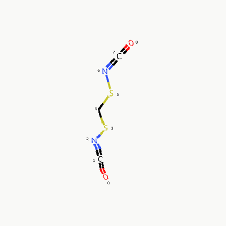 O=C=NSCSN=C=O